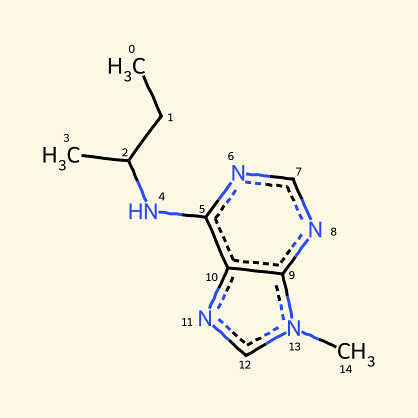 CCC(C)Nc1ncnc2c1ncn2C